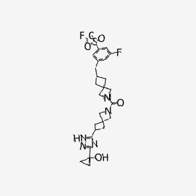 O=C(N1CC2(CC(Cc3cc(F)cc(S(=O)(=O)C(F)(F)F)c3)C2)C1)N1CC2(CC(c3nc(C4(O)CC4)n[nH]3)C2)C1